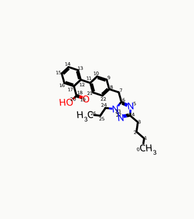 CCCCc1nc(Cc2ccc(-c3ccccc3C(=O)O)cc2)n(CCC)n1